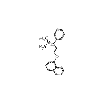 CN(N)[C@H](CCOc1cccc2ccccc12)c1ccccc1